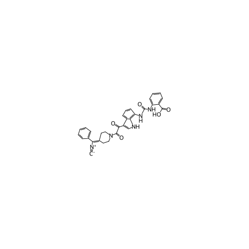 [C-]#[N+]C(=C1CCN(C(=O)C(=O)c2c[nH]c3c(NC(=O)Nc4ccccc4C(=O)O)cccc23)CC1)c1ccccc1